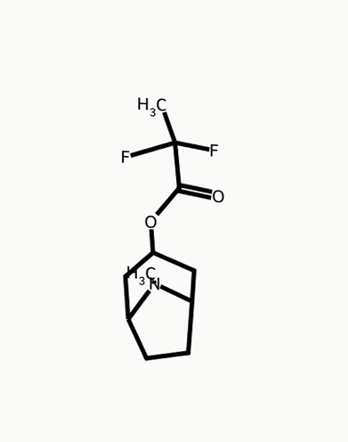 CN1C2CCC1CC(OC(=O)C(C)(F)F)C2